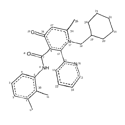 Cc1cccc(NC(=O)c2c(-c3ccccn3)n(CC3CCCCC3)c(C)cc2=O)c1C